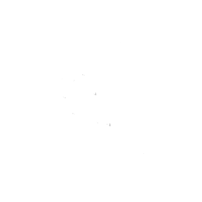 C=C(NCc1ccc(F)cc1)c1ncnc2c(C(=O)NCCCC(=O)O)c[nH]c12